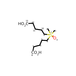 CS(C)(=O)(CCCCC(=O)O)CCCCC(=O)O